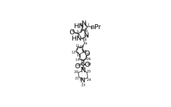 CCCc1n[nH]c2c(=O)[nH]c(Cc3ccc4cc(S(=O)(=O)N5CCN(C)CC5)coc3-4)nc12